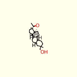 CC(=O)[C@H]1CC[C@H]2[C@@H]3CC[C@H]4CC(C)(CO)CC[C@@H]4[C@H]3CC[C@]12C